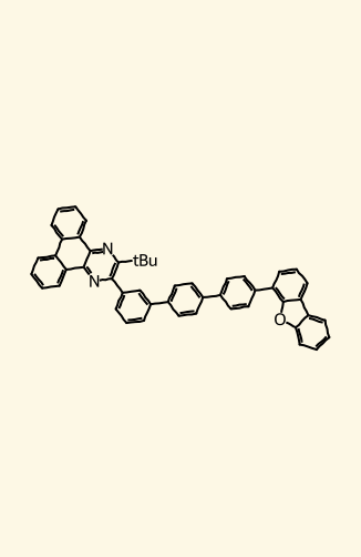 CC(C)(C)c1nc2c3ccccc3c3ccccc3c2nc1-c1cccc(-c2ccc(-c3ccc(-c4cccc5c4oc4ccccc45)cc3)cc2)c1